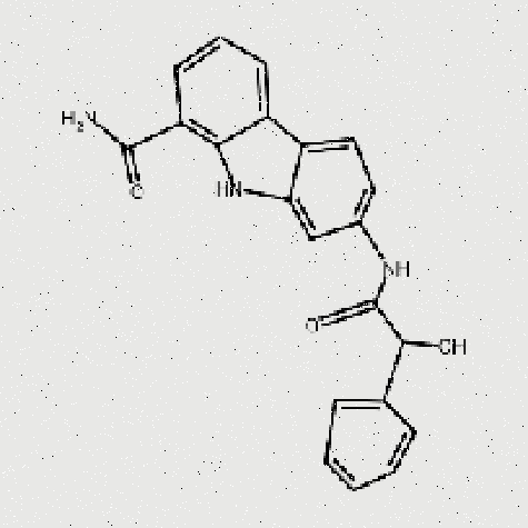 NC(=O)c1cccc2c1[nH]c1cc(NC(=O)C(O)c3ccccc3)ccc12